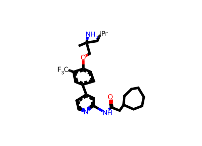 CC(C)CC(C)(N)COc1ccc(-c2ccnc(NC(=O)CC3CCCCCC3)c2)cc1C(F)(F)F